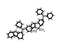 C[Si]1(C)c2ccc(N(c3ccccc3)c3ccccc3)cc2-c2oc3cc(N(c4ccccc4)c4cccc5c4oc4ccccc45)ccc3c21